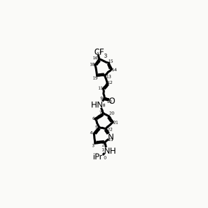 CC(C)Nc1ccc2cc(NC(=O)C=Cc3ccc(C(F)(F)F)cc3)ccc2n1